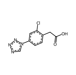 O=C(O)Cc1ccc(-n2cnnn2)cc1Cl